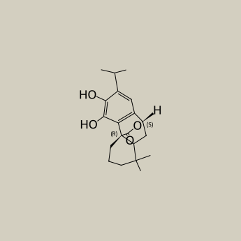 CC(C)c1cc2c(c(O)c1O)[C@@]13CCCC(C)(C)C1C[C@@H]2OC3=O